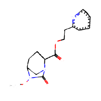 O=C(OCCc1ccccn1)C1CCC2CN1C(=O)N2OS(=O)(=O)O